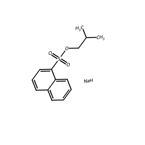 CC(C)COS(=O)(=O)c1cccc2ccccc12.[NaH]